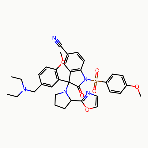 CCN(CC)Cc1ccc(OC)c(C2(N3CCCC3c3ncco3)C(=O)N(S(=O)(=O)c3ccc(OC)cc3)c3ccc(C#N)cc32)c1